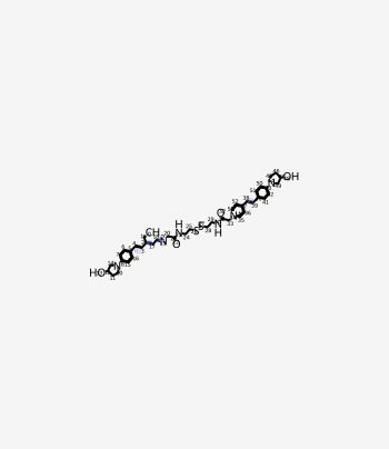 C=CC(/C=C/c1ccc(N2CCC(O)C2)cc1)=C\C=N\CC(=O)NCCSSCCNC(=O)C[n+]1ccc(/C=C/c2ccc(N3CCC(O)C3)cc2)cc1